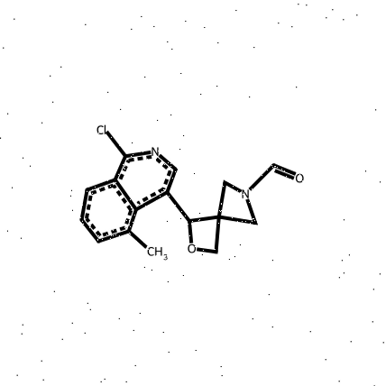 Cc1cccc2c(Cl)ncc(C3OCC34CN(C=O)C4)c12